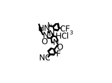 CC#CCn1c(N[C@@H](C)c2ccc(C(F)(F)F)cc2)nc2c(c1=O)CN(C(=O)c1ccc(C#N)cc1F)CC2.Cl